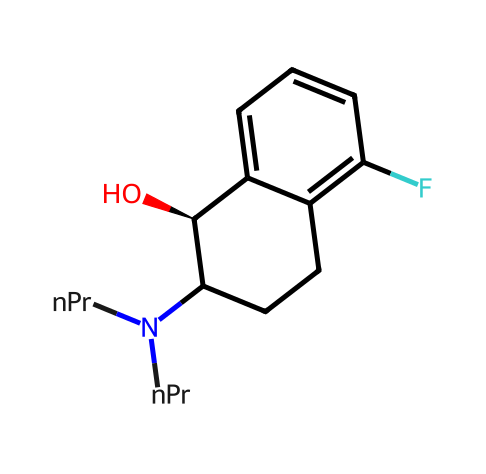 CCCN(CCC)C1CCc2c(F)cccc2[C@@H]1O